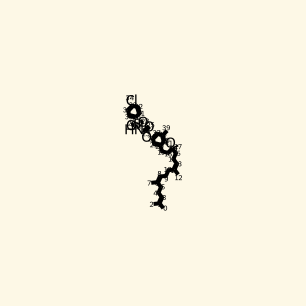 CC(C)=CCCC(C)=CCCC(C)=CCC[C@]1(C)CCc2cc(OC(=O)NS(=O)(=O)c3ccc(Cl)cc3)cc(C)c2O1